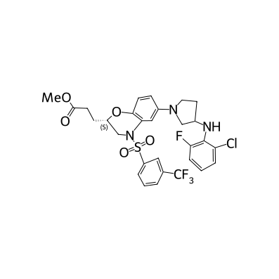 COC(=O)CC[C@H]1CN(S(=O)(=O)c2cccc(C(F)(F)F)c2)c2cc(N3CCC(Nc4c(F)cccc4Cl)C3)ccc2O1